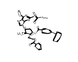 C=C1[C@H](COC(=O)c2ccccc2)[C@@H](OC(=O)c2ccc(-c3ccccc3)cc2)C[C@@H]1n1cnc2c(Cl)nc(NC(=O)OC(C)(C)C)nc21